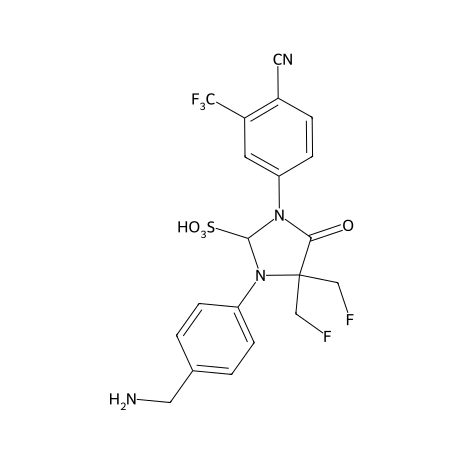 N#Cc1ccc(N2C(=O)C(CF)(CF)N(c3ccc(CN)cc3)C2S(=O)(=O)O)cc1C(F)(F)F